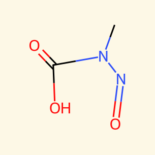 CN(N=O)C(=O)O